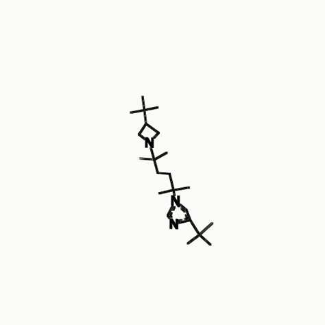 CC(C)(C)c1cn(C(C)(C)CCC(C)(C)N2CC(C(C)(C)C)C2)cn1